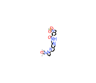 C[C@@H]1CN(c2cccc(-c3ccc4cnc(CNC(=O)c5ccc6ccn(S(C)(=O)=O)c6c5)cc4n3)n2)C[C@H](C)O1